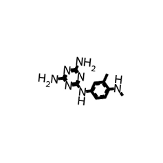 CNc1ccc(Nc2nc(N)nc(N)n2)cc1C